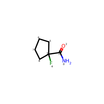 NC(=O)C1(F)CCCC1